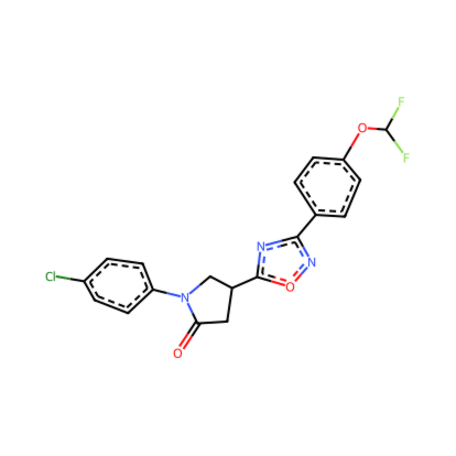 O=C1CC(c2nc(-c3ccc(OC(F)F)cc3)no2)CN1c1ccc(Cl)cc1